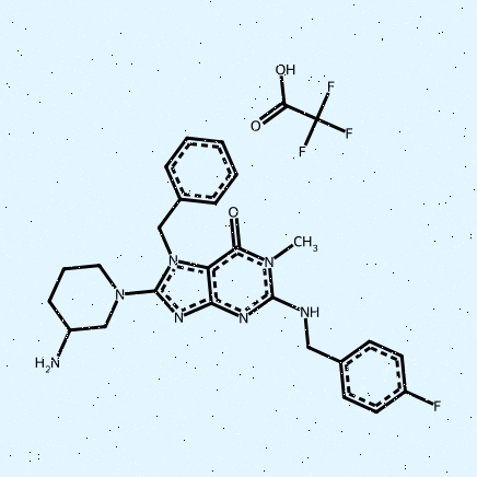 Cn1c(NCc2ccc(F)cc2)nc2nc(N3CCCC(N)C3)n(Cc3ccccc3)c2c1=O.O=C(O)C(F)(F)F